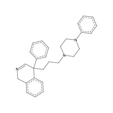 C1=NCc2ccccc2C1(CCCN1CCN(c2ccccc2)CC1)c1ccccc1